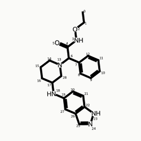 CCONC(=O)C(c1ccccc1)N1CCCC(Nc2ccc3[nH]ncc3c2)C1